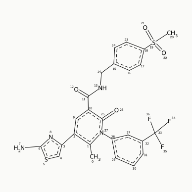 Cc1c(-c2csc(N)n2)cc(C(=O)NCc2ccc(S(C)(=O)=O)cc2)c(=O)n1-c1cccc(C(F)(F)F)c1